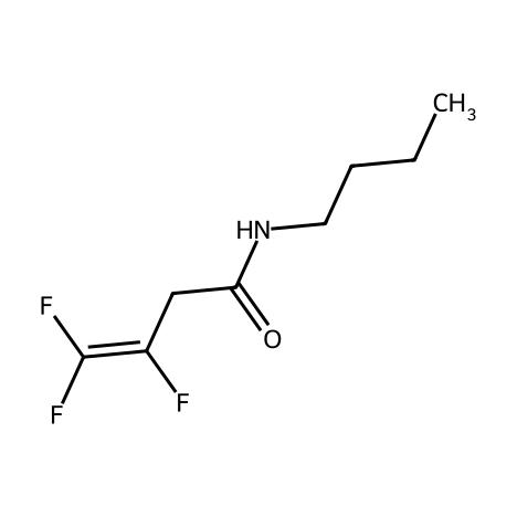 CCCCNC(=O)CC(F)=C(F)F